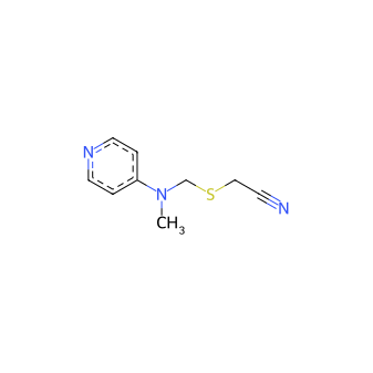 CN(CSCC#N)c1ccncc1